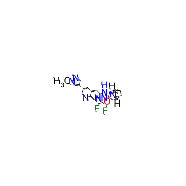 Cn1cc(-c2cnc3cnc(NC(=O)N4[C@@H]5CC[C@H]4CC(NC(CF)CF)C5)cc3c2)cn1